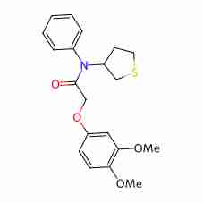 COc1ccc(OCC(=O)N(c2ccccc2)C2CCSC2)cc1OC